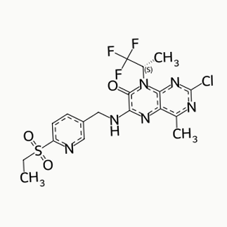 CCS(=O)(=O)c1ccc(CNc2nc3c(C)nc(Cl)nc3n([C@@H](C)C(F)(F)F)c2=O)cn1